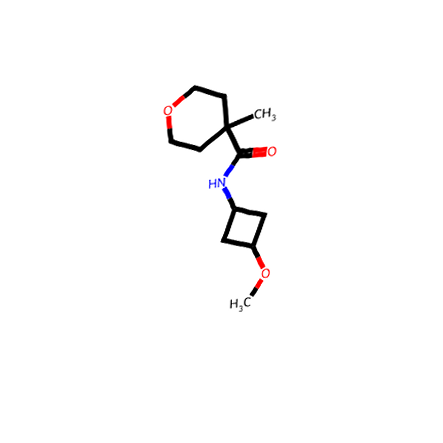 COC1CC(NC(=O)C2(C)CCOCC2)C1